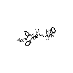 CC(=O)OC1c2ccccc2C(=O)N(CC(=O)NCCCCNc2nc3ccccc3[nH]2)c2ccccc21